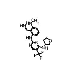 CNc1cccc(Nc2ncc(C(F)(F)F)c(N[C@@H]3CCOC3)n2)c1C=N